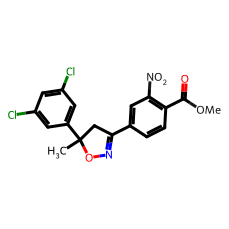 COC(=O)c1ccc(C2=NOC(C)(c3cc(Cl)cc(Cl)c3)C2)cc1[N+](=O)[O-]